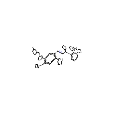 COCOc1cc(/C=C/C(=O)c2cccc(Cl)c2O)c(Cl)cc1Br